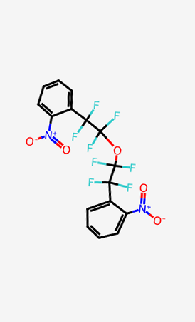 O=[N+]([O-])c1ccccc1C(F)(F)C(F)(F)OC(F)(F)C(F)(F)c1ccccc1[N+](=O)[O-]